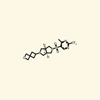 Cc1nc(C(F)(F)F)ncc1S(=O)(=O)N1C[C@H]2CN(C3CC4(COC4)C3)C[C@@H]2C1